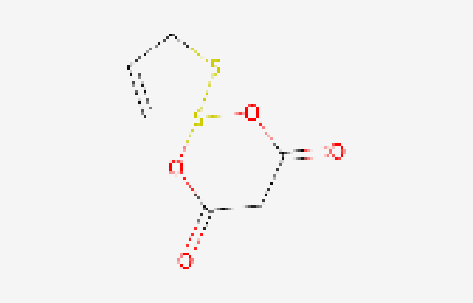 O=C1CC(=O)OS2(C=CCS2)O1